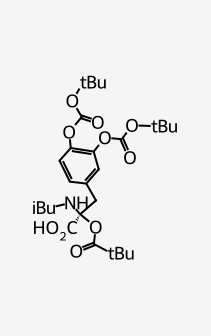 CCC(C)N[C@@](Cc1ccc(OC(=O)OC(C)(C)C)c(OC(=O)OC(C)(C)C)c1)(OC(=O)C(C)(C)C)C(=O)O